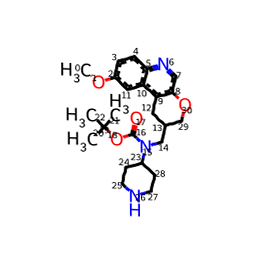 COc1ccc2ncc3c(c2c1)CC(CN(C(=O)OC(C)(C)C)C1CCNCC1)CO3